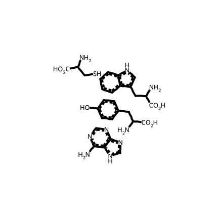 NC(CS)C(=O)O.NC(Cc1c[nH]c2ccccc12)C(=O)O.NC(Cc1ccc(O)cc1)C(=O)O.Nc1ncnc2nc[nH]c12